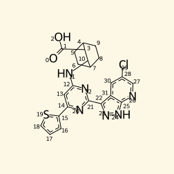 O=C(O)C1C2CCC(CC2)C1Nc1cc(-c2cccs2)nc(-c2n[nH]c3ncc(Cl)cc23)n1